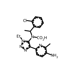 CCn1nnc(-c2ccc(N)c(C)n2)c1N(C(=O)O)C(C)c1ccccc1Cl